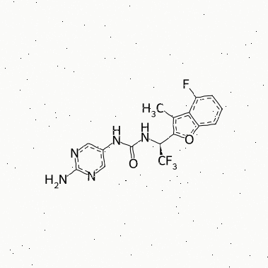 Cc1c([C@H](NC(=O)Nc2cnc(N)nc2)C(F)(F)F)oc2cccc(F)c12